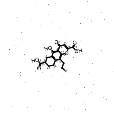 CCCc1c2c(c(O)c3c(=O)cc(C(=O)O)oc13)CC(C(=O)O)CC2